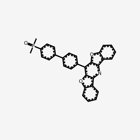 CP(C)(=O)c1ccc(-c2ccc(-c3c4oc5ccccc5c4nc4c3oc3ccccc34)cc2)cc1